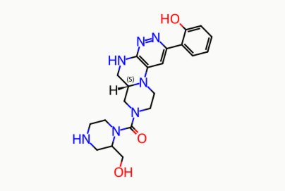 O=C(N1CCN2c3cc(-c4ccccc4O)nnc3NC[C@H]2C1)N1CCNCC1CO